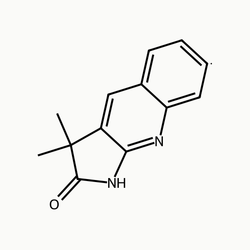 CC1(C)C(=O)Nc2nc3c[c]ccc3cc21